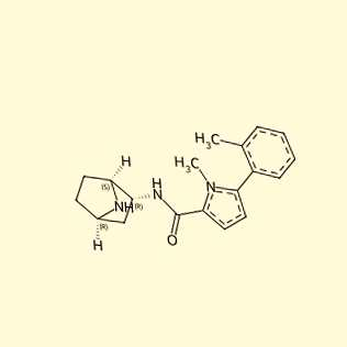 Cc1ccccc1-c1ccc(C(=O)N[C@@H]2C[C@H]3CC[C@@H]2N3)n1C